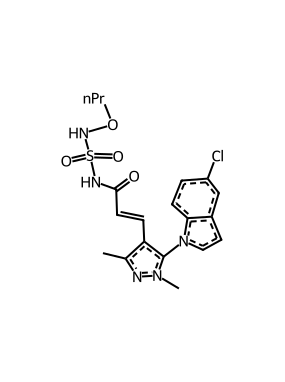 CCCONS(=O)(=O)NC(=O)/C=C/c1c(C)nn(C)c1-n1ccc2cc(Cl)ccc21